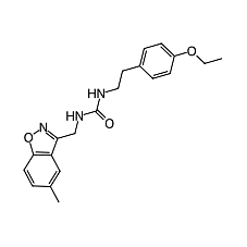 CCOc1ccc(CCNC(=O)NCc2noc3ccc(C)cc23)cc1